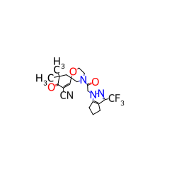 CC1(C)CC2(C=C(C#N)C1=O)CN(C(=O)Cn1nc(C(F)(F)F)c3c1CCC3)CCO2